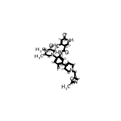 Cc1ncc(CN2CC=C(c3cc(NC(=O)c4c[nH]c(=O)cc4C(F)(F)F)c(N4C[C@@H](C)N(C)[C@@H](C)C4)cc3F)CC2)o1